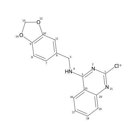 Clc1nc(NCc2ccc3c(c2)OCO3)c2ccccc2n1